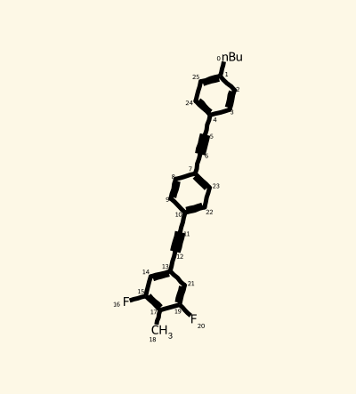 CCCCc1ccc(C#Cc2ccc(C#Cc3cc(F)c(C)c(F)c3)cc2)cc1